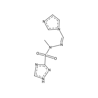 CN(/N=C\n1ccnc1)S(=O)(=O)c1nc[nH]n1